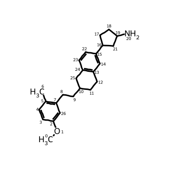 COc1ccc(C)c(CCC2CCc3cc(C4CCC(N)C4)ccc3C2)c1